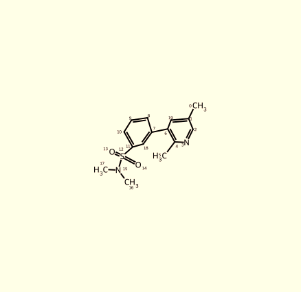 Cc1cnc(C)c(-c2cccc(S(=O)(=O)N(C)C)c2)c1